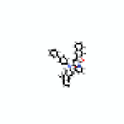 CC1(C)c2ccccc2-c2cc(-c3ccccc3)c(N(c3ccc(-c4ccccc4)cc3)c3cnc4oc5cc6ccccc6cc5c4c3)cc21